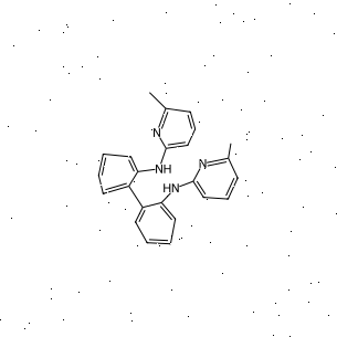 Cc1cccc(Nc2ccccc2-c2ccccc2Nc2cccc(C)n2)n1